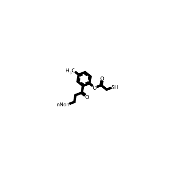 CCCCCCCCCCCC(=O)c1cc(C)ccc1OC(=O)CS